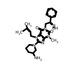 CC(C)=CCn1c(N2CCCC(N)C2)nc2c1c(=O)n(C/C(=N\O)c1ccccc1)c(=O)n2C